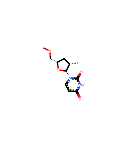 C[C@H]1C[C@@H](COI)O[C@H]1n1ccc(=O)[nH]c1=O